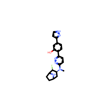 CN(c1ccc(-c2ccc(-c3cc[nH]n3)cc2O)nn1)[C@H]1CC2CCC(N2)[C@H]1F